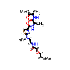 C=C(NC(=O)c1csc(N(CCC)CCNC(=O)COCCSC)n1)C(=O)NC(=C)C(=O)OC